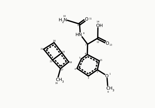 COc1cccc(C(NC(N)=O)C(=O)O)c1.Cc1cc2ccc1-2